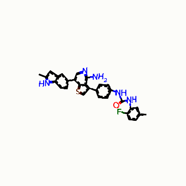 Cc1ccc(F)c(NC(=O)Nc2ccc(-c3csc4c(-c5ccc6[nH]c(C)cc6c5)cnc(N)c34)cc2)c1